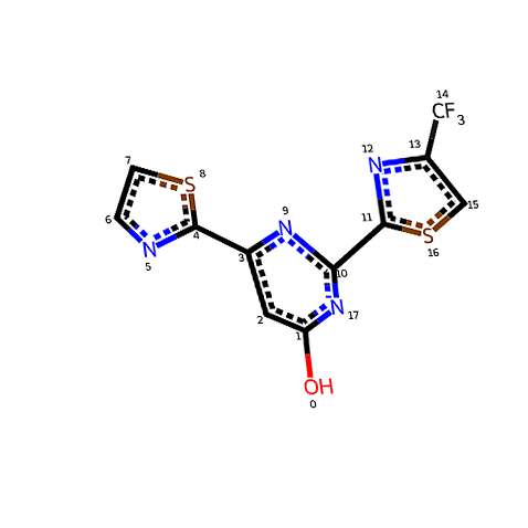 Oc1cc(-c2nccs2)nc(-c2nc(C(F)(F)F)cs2)n1